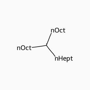 CCCCCCCC[C](CCCCCCC)CCCCCCCC